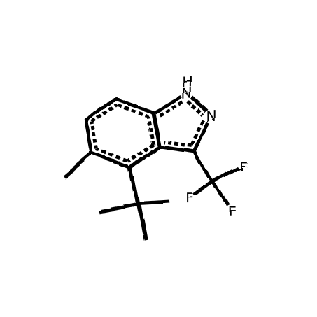 Cc1ccc2[nH]nc(C(F)(F)F)c2c1C(C)(C)C